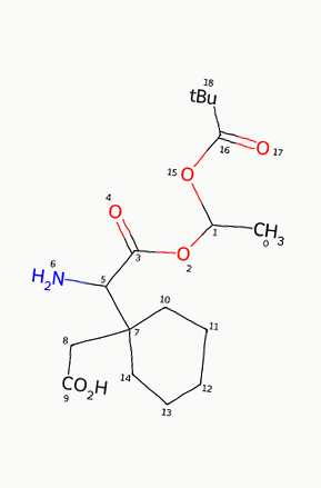 CC(OC(=O)C(N)C1(CC(=O)O)CCCCC1)OC(=O)C(C)(C)C